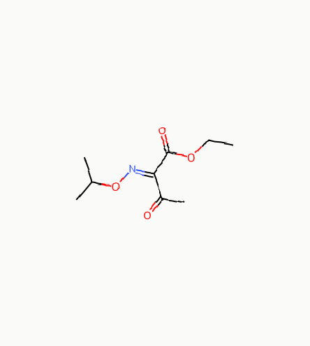 CCOC(=O)/C(=N/OC(C)C)C(C)=O